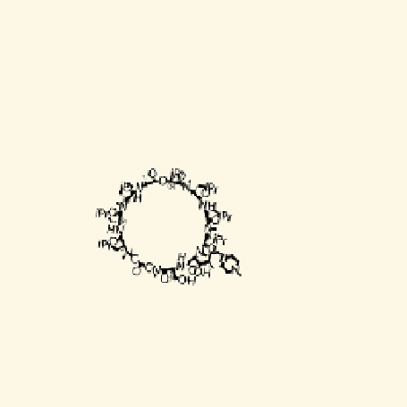 CC(C)C[C@@H]1C(=O)N[C@H](CC(C)C)C(=O)N(C)[C@H](C(C)C)C(=O)N(C)[C@H]([C@H](O)[C@H](C)CCN2CCN(C)CC2)C(=O)N[C@H]([C@@H](C)O)C(=O)N(C)CC(=O)CN(C)[C@@H](CC(C)C)C(=O)N[C@H](CC(C)C)C(=O)N(C)[C@H](CC(C)C)C(=O)N[C@H](C)C(=O)O[C@@H](C(C)C)C(=O)N1C